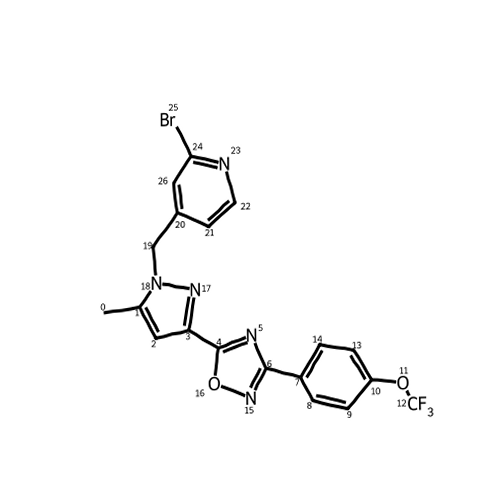 Cc1cc(-c2nc(-c3ccc(OC(F)(F)F)cc3)no2)nn1Cc1ccnc(Br)c1